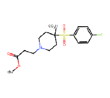 CC(C)(C)OC(=O)CCN1CCC(C(=O)O)(S(=O)(=O)c2ccc(F)cc2)CC1